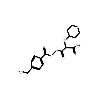 NCc1ccc(C(=O)NNC(=O)C(OC2CCNCC2)C(=O)O)cc1